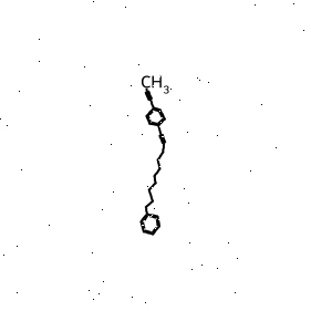 CC#Cc1ccc(C#CCCCCCCCCc2ccccc2)cc1